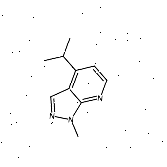 CC(C)c1ccnc2c1cnn2C